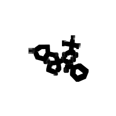 O=C(ON(C1(OC2CCNCC2)CSCN1Cl)S(=O)(=O)c1ccccc1)C(F)(F)F